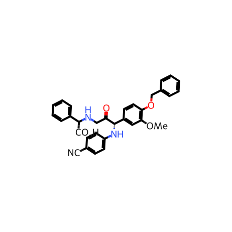 COc1cc([C@H](Nc2ccc(C#N)cc2)C(=O)CNC(C(=O)O)c2ccccc2)ccc1OCc1ccccc1